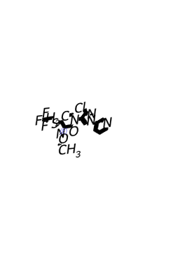 CCO/N=C(/CSCC(F)(F)F)C(=O)N(CC)c1cn(-c2cccnc2)nc1Cl